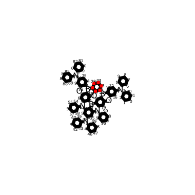 c1ccc(N(c2ccccc2)c2ccc3c(c2)Oc2cc4c(c5c2B3c2ccccc2O5)B2c3c(cc(N(c5ccccc5)c5ccccc5)cc3N(c3ccccc3)c3cc5c6c(c32)Oc2ccccc2B6c2ccc(N(c3ccccc3)c3ccccc3)cc2O5)N4c2ccccc2)cc1